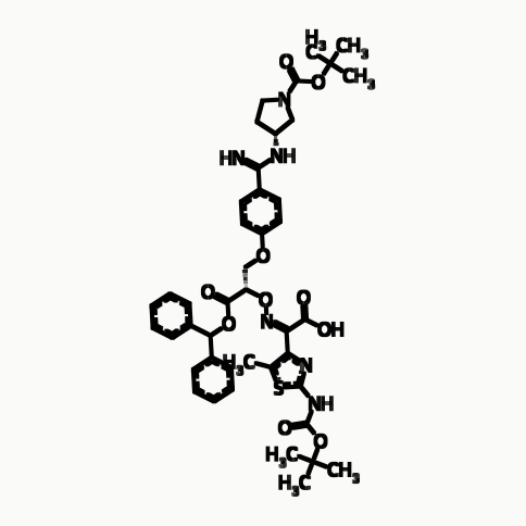 Cc1sc(NC(=O)OC(C)(C)C)nc1/C(=N/O[C@@H](COc1ccc(C(=N)N[C@@H]2CCN(C(=O)OC(C)(C)C)C2)cc1)C(=O)OC(c1ccccc1)c1ccccc1)C(=O)O